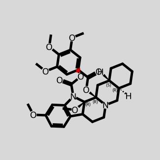 COC(=O)N1c2cc(OC)ccc2C2CCN3C[C@@H]4CCCC[C@H]4C[C@@]3(OC(=O)c3cc(OC)c(OC)c(OC)c3)[C@]21OC